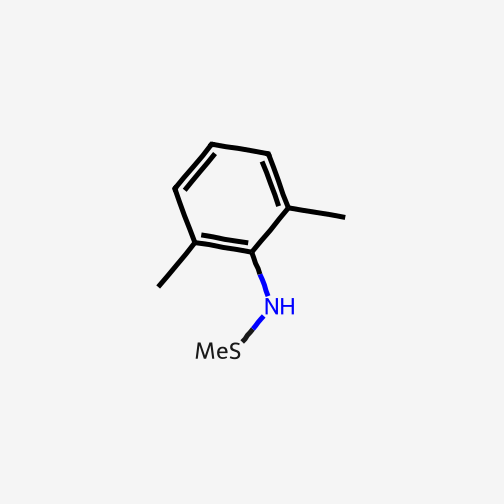 CSNc1c(C)cccc1C